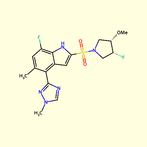 CO[C@H]1CN(S(=O)(=O)c2cc3c(-c4ncn(C)n4)c(C)cc(F)c3[nH]2)C[C@H]1F